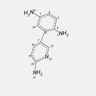 Nc1ccc(N)c(-c2ccc(N)nc2)c1